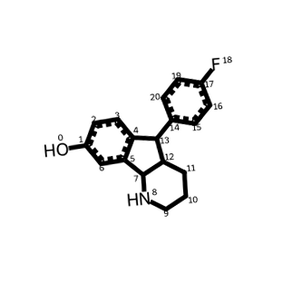 Oc1ccc2c(c1)C1NCCCC1C2c1ccc(F)cc1